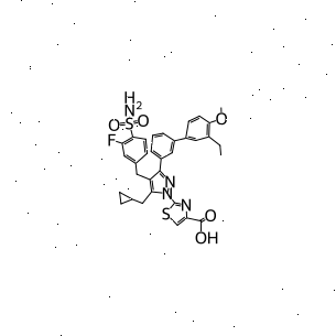 CCc1cc(-c2cccc(-c3nn(-c4nc(C(=O)O)cs4)c(CC4CC4)c3Cc3ccc(S(N)(=O)=O)c(F)c3)c2)ccc1OC